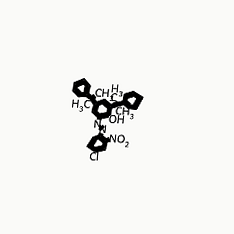 CC(C)(c1ccccc1)c1cc(/N=N/c2ccc(Cl)cc2[N+](=O)[O-])c(O)c(C(C)(C)c2ccccc2)c1